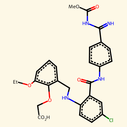 CCOc1cccc(CNc2ccc(Cl)cc2C(=O)Nc2ccc(C(=N)NC(=O)OC)cc2)c1OCC(=O)O